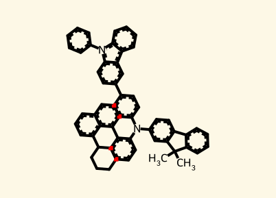 CC1(C)c2ccccc2-c2ccc(N(c3ccc(-c4ccc5c(c4)c4ccccc4n5-c4ccccc4)cc3)c3ccccc3-c3cccc4cccc(C5CCCCC5)c34)cc21